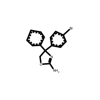 NC1=NC(c2ccccc2)(c2ccc(Br)cc2)CO1